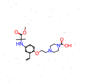 C=Cc1cc(NC(C)(C)C(=O)OC)ccc1OCCN1CCN(C(=O)O)CC1